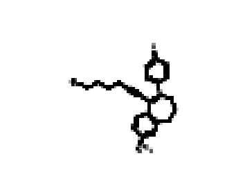 COc1ccc2c(c1)CCCC(c1ccc(F)cc1)=C2C#CCCCCO